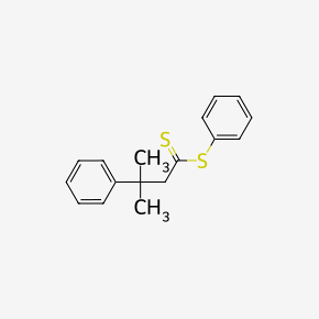 CC(C)(CC(=S)Sc1ccccc1)c1ccccc1